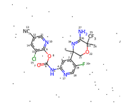 CC1(c2cc(NC(=O)Oc3ncc(C#N)cc3Cl)ncc2F)COC(C)(C(F)(F)F)C(N)=N1